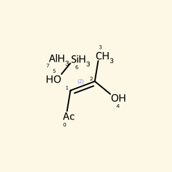 CC(=O)/C=C(/C)O.O[SiH3].[AlH3]